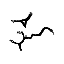 NC1CC1=O.NCCCC[C@H](N)C(=O)O